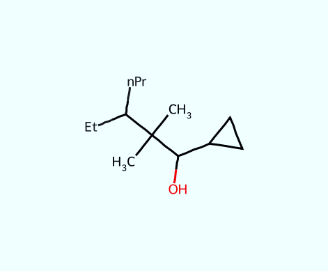 CCCC(CC)C(C)(C)C(O)C1CC1